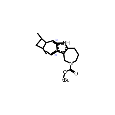 C/C=c1/c2c([nH]/c1=C/C1C(C)CC1C)CCCN(C(=O)OC(C)(C)C)C2